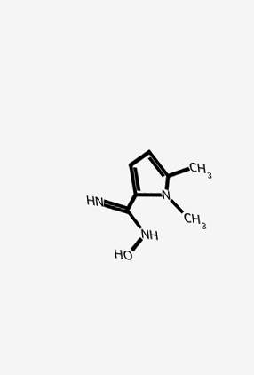 Cc1ccc(C(=N)NO)n1C